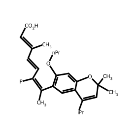 CCCOc1cc2c(cc1\C(C)=C(F)/C=C/C(C)=C/C(=O)O)C(C(C)C)=CC(C)(C)O2